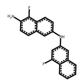 Nc1ccc2cc(Nc3cc(F)c4ccccc4c3)ccc2c1F